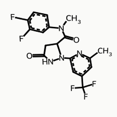 Cc1cc(C(F)(F)F)cc(N2NC(=O)CC2C(=O)N(C)c2ccc(F)c(F)c2)n1